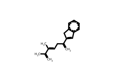 C=C(C/C=C(\C)C(=C)C)C1=Cc2ccccc2C1